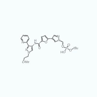 COCCn1cc(NC(=O)c2ccc(-c3cnn(COP(=O)(O)OC(C)(C)C)c3)o2)c(-c2ccccn2)n1